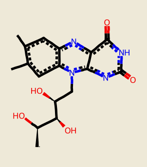 [CH2][C@@H](O)[C@H](O)[C@@H](O)Cn1c2nc(=O)[nH]c(=O)c-2nc2cc(C)c(C)cc21